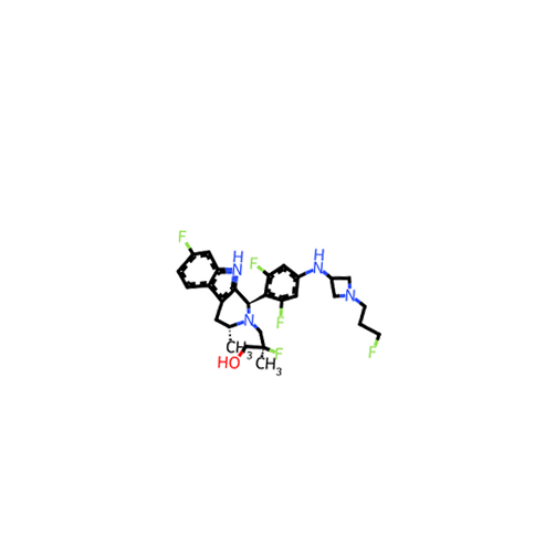 C[C@@H]1Cc2c([nH]c3cc(F)ccc23)[C@@H](c2c(F)cc(NC3CN(CCCF)C3)cc2F)N1C[C@@](C)(F)CO